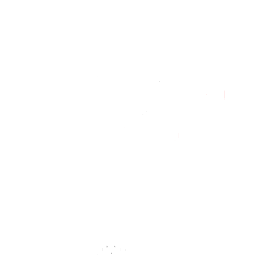 COc1ccc(OC(=O)C(CO)c2cccc3ccccc23)cc1